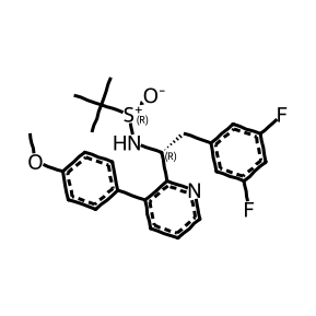 COc1ccc(-c2cccnc2[C@@H](Cc2cc(F)cc(F)c2)N[S@@+]([O-])C(C)(C)C)cc1